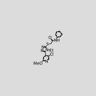 CCn1c(SCC(=O)Nc2ccccc2)nnc1-c1cc(OC)ncc1Cl